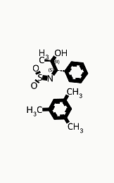 C[C@@H](O)[C@@H](N=S(=O)=O)c1ccccc1.Cc1cc(C)cc(C)c1